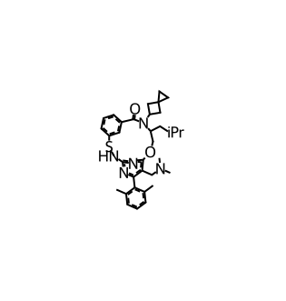 Cc1cccc(C)c1-c1nc2nc(c1CN(C)C)OCC(CC(C)C)N(C1CC3(CC3)C1)C(=O)c1cccc(c1)SN2